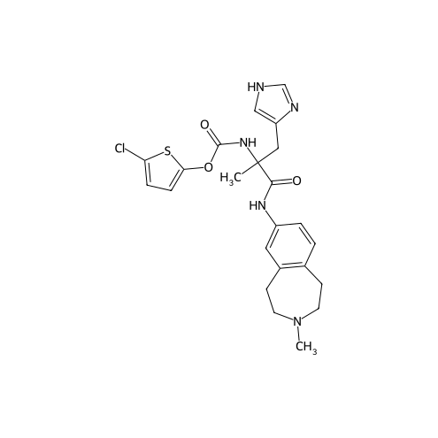 CN1CCc2ccc(NC(=O)C(C)(Cc3c[nH]cn3)NC(=O)Oc3ccc(Cl)s3)cc2CC1